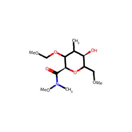 COCOC1C(C)[C@@H](O)C(COC)O[C@H]1C(=O)N(C)OC